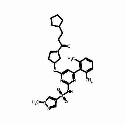 Cc1cccc(C)c1-c1cc(OC2CCN(C(=O)CCC3CCCC3)C2)nc(NS(=O)(=O)c2cnn(C)c2)n1